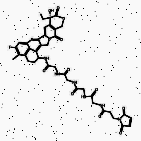 CC[C@@]1(O)C(=O)OCc2c1cc1n(c2=O)Cc2c-1nc1cc(F)c(C)c3c1c2C(NC(=O)CNC(=O)CNC(=O)CNC(=O)CNC(=O)CCN1C(=O)C=CC1=O)CC3